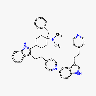 CN(C)C1(Cc2ccccc2)CC=C(c2[nH]c3ccccc3c2CCc2ccncc2)CC1.c1ccc2c(CCc3ccncc3)c[nH]c2c1